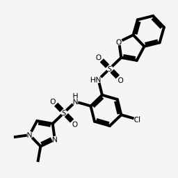 Cc1nc(S(=O)(=O)Nc2ccc(Cl)cc2NS(=O)(=O)c2cc3ccccc3o2)cn1C